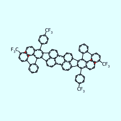 FC(F)(F)c1ccc(-c2ccccc2-c2c3c(c(-c4ccc(C(F)(F)F)cc4)c4ccccc24)-c2ccc4c5ccc6c7c(ccc(c8ccc-3c2c48)c75)-c2c-6c(-c3ccccc3-c3ccc(C(F)(F)F)cc3)c3ccccc3c2-c2ccc(C(F)(F)F)cc2)cc1